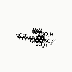 CCCCCCCC/C=C\CCCCCCCC(=O)Oc1cc(S(=O)(=O)O)c2ccc3c(S(=O)(=O)O)cc(S(=O)(=O)O)c4ccc1c2c43.[NaH].[NaH].[NaH]